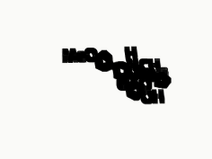 COc1ccc(C2CC(=O)C3=C(C2)NC(C)=C(C(=O)OC2CCCC2)C3c2cccc(O)c2)cc1